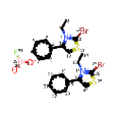 CC[n+]1c(-c2ccccc2)csc1Br.CC[n+]1c(-c2ccccc2)csc1Br.[O-]B([O-])F